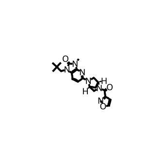 Cn1c(=O)n(CC(C)(C)C)c2ccc(N3C[C@H]4C[C@@H]3CN4C(=O)c3ccon3)nc21